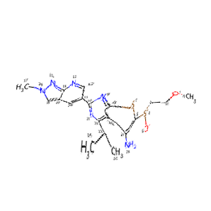 COCC[S+]([O-])c1sc2nc(-c3cnc4nn(C)cc4c3)nc(C(C)C)c2c1N